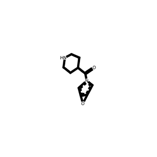 O=C(C1CCNCC1)n1cc2c(c1)O2